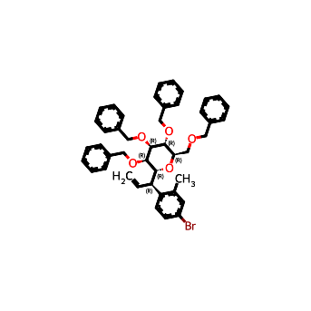 C=C[C@H](c1ccc(Br)cc1C)[C@H]1O[C@H](COCc2ccccc2)[C@@H](OCc2ccccc2)[C@H](OCc2ccccc2)[C@@H]1OCc1ccccc1